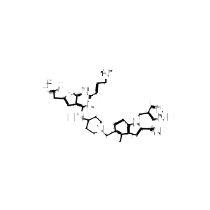 Cc1c(CN2CCC(Nc3nc(/C=C/CN(C)C)nc4sc(CC(F)(F)F)cc34)CC2)ccc2c1cc(C#N)n2Cc1cn[nH]c1